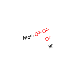 [Bi].[Mo+6].[O-2].[O-2].[O-2]